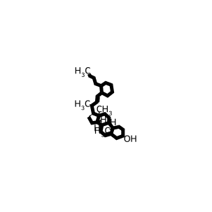 CCCCC1CCCCC1/C=C/[C@@H](C)[C@H]1CC[C@H]2[C@@H]3CC=C4C[C@@H](O)CC[C@]4(C)[C@H]3CC[C@]12C